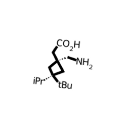 CC(C)[C@]1(C(C)(C)C)C[C@@](CN)(CC(=O)O)C1